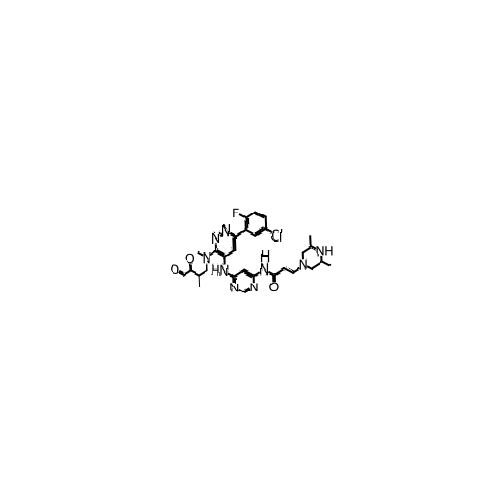 CC1CN(CCC(=O)Nc2cc(Nc3cc(-c4cc(Cl)ccc4F)nnc3N(C)CC(C)C(=O)C=O)ncn2)CC(C)N1